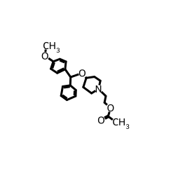 COc1ccc(C(OC2CCN(CCOC(C)=O)CC2)c2ccccc2)cc1